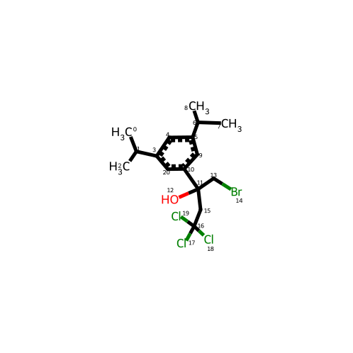 CC(C)c1cc(C(C)C)cc(C(O)(CBr)CC(Cl)(Cl)Cl)c1